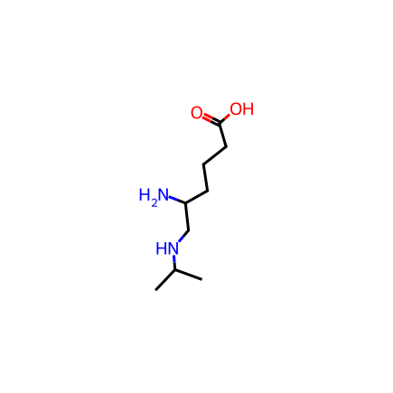 CC(C)NCC(N)CCCC(=O)O